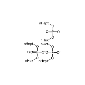 CCCCCCCCOP(=O)([O-])OCCCCCCC.CCCCCCCOP(=O)([O-])OCCCCCC.CCCCCCCOP(=O)([O-])OCCCCCC.[Cr+3]